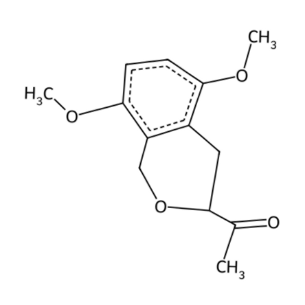 COc1ccc(OC)c2c1COC(C(C)=O)C2